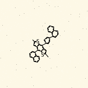 Cc1cc2c(-c3cccc4ccccc34)c3sc(C)cc3c(-c3ccc(-c4cccc5ccccc45)cc3)c2s1